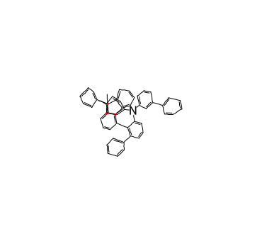 CC1(C)c2ccccc2-c2c(-c3c(-c4ccccc4)cccc3N(c3ccc(-c4ccccc4)cc3)c3cccc(-c4ccccc4)c3)cccc21